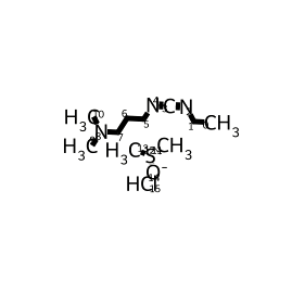 CCN=C=NCCCN(C)C.C[S+](C)[O-].Cl